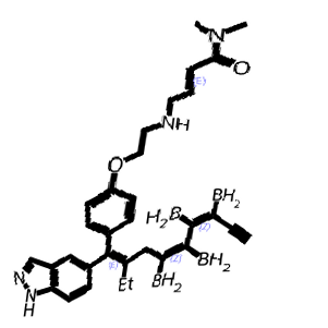 B/C(C#C)=C(B)/C(B)=C(/B)C/C(CC)=C(\c1ccc(OCCNC/C=C/C(=O)N(C)C)cc1)c1ccc2[nH]ncc2c1